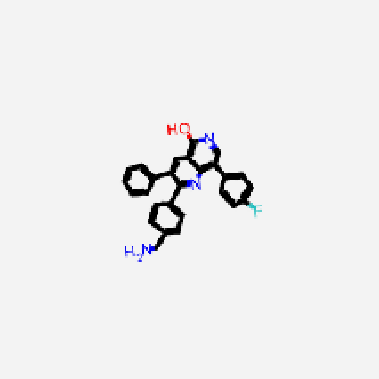 NCc1ccc(-c2nc3c(-c4ccc(F)cc4)cnc(O)c3cc2-c2ccccc2)cc1